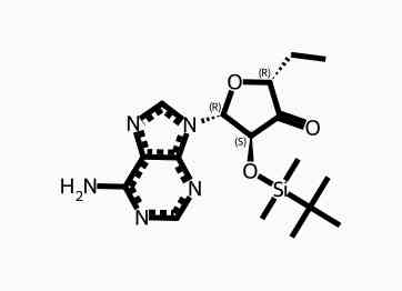 CC[C@H]1O[C@@H](n2cnc3c(N)ncnc32)[C@H](O[Si](C)(C)C(C)(C)C)C1=O